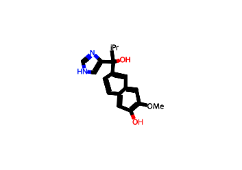 COc1cc2cc(C(O)(c3c[nH]cn3)C(C)C)ccc2cc1O